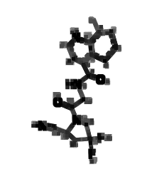 Cc1cccc2c(C(=O)NCC(=O)N3CC(F)(F)CC3C#N)ccnc12